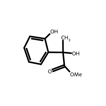 COC(=O)C(C)(O)c1ccccc1O